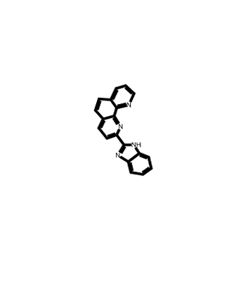 c1cnc2c(c1)ccc1ccc(-c3nc4ccccc4[nH]3)nc12